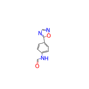 O=CNc1ccc(-c2ncno2)cc1